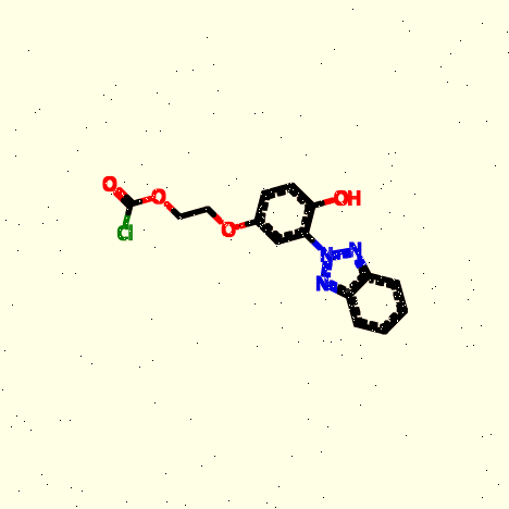 O=C(Cl)OCCOc1ccc(O)c(-n2nc3ccccc3n2)c1